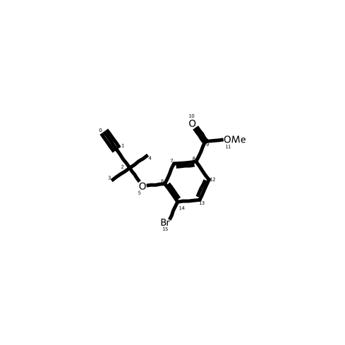 C#CC(C)(C)Oc1cc(C(=O)OC)ccc1Br